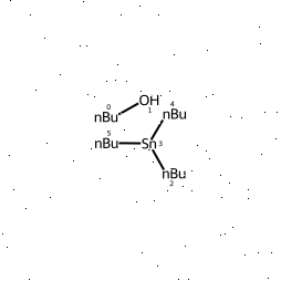 CCCCO.CCC[CH2][Sn]([CH2]CCC)[CH2]CCC